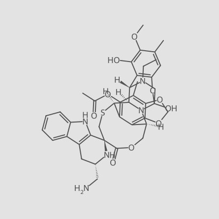 CCN1CC2(O)Cc3cc(C)c(OC)c(O)c3[C@H]1[C@@H]1[C@@H]3SC[C@]4(N[C@H](CN)Cc5c4[nH]c4ccccc54)C(=O)OC[C@@H](c4c5c(c(C)c(OC(C)=O)c43)OCO5)N12